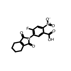 O=C(O)c1cc(N2C(=O)C3=C(CCCC3)C2=O)c(F)cc1[N+](=O)[O-]